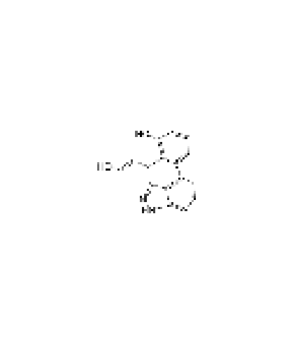 OC=CCc1c(O)cccc1-c1cccc2[nH]nnc12